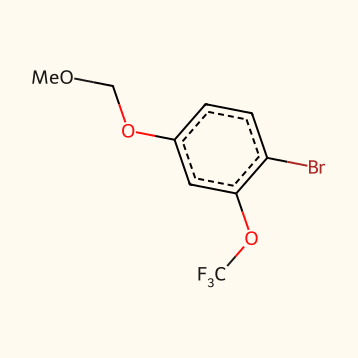 COCOc1ccc(Br)c(OC(F)(F)F)c1